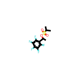 CC(OS(=O)(=O)C(C)C)c1c(F)c(F)c(F)c(F)c1F